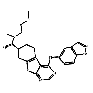 COCCN(C)C(=O)[C@H]1CCc2c(sc3ncnc(Nc4ccc5[nH]ncc5c4)c23)C1